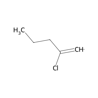 [CH]=C(Cl)CCC